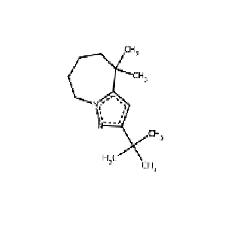 CC(C)(C)c1cc2n(n1)CCCCC2(C)C